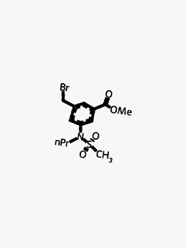 CCCN(c1cc(CBr)cc(C(=O)OC)c1)S(C)(=O)=O